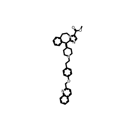 COC(=O)c1cnc2n1CCc1ccccc1C2=C1CCN(CCc2ccc(OCc3ccc4ccccc4n3)cc2)CC1